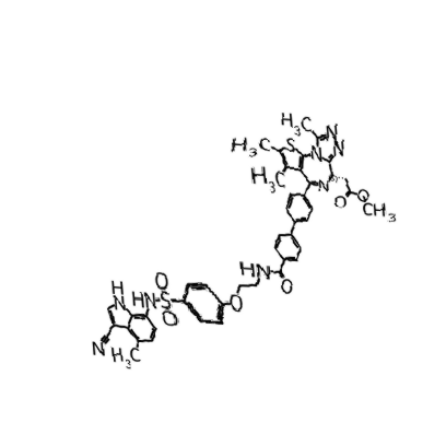 COC(=O)C[C@@H]1N=C(c2ccc(-c3ccc(C(=O)NCCOc4ccc(S(=O)(=O)Nc5ccc(C)c6c(C#N)c[nH]c56)cc4)cc3)cc2)c2c(sc(C)c2C)-n2c(C)nnc21